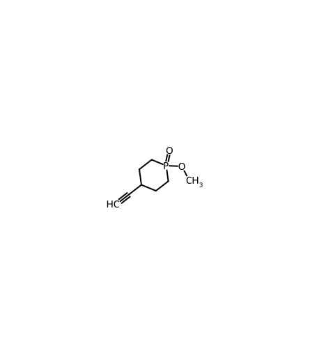 C#CC1CCP(=O)(OC)CC1